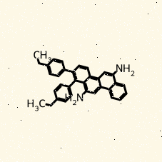 CCc1ccc(-c2ccc3c(c(N)cc4c5ccccc5c(N)cc34)c2-c2ccc(CC)cc2)cc1